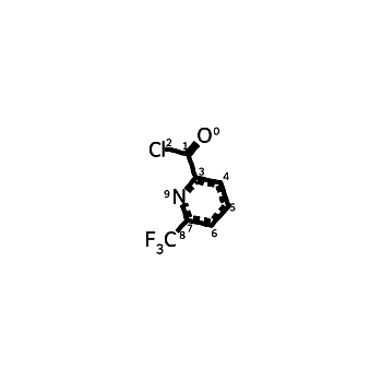 O=C(Cl)c1cccc(C(F)(F)F)n1